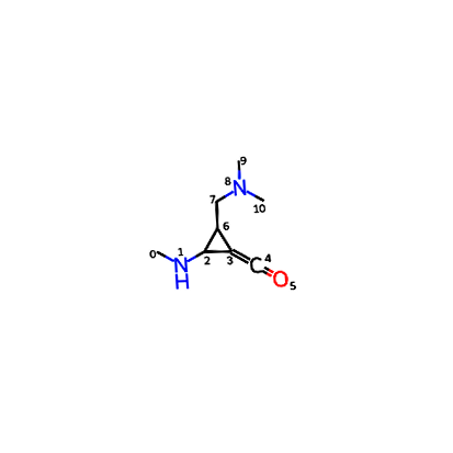 CNC1C(=C=O)C1CN(C)C